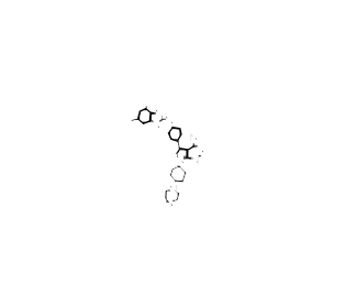 Cc1cc(Cl)c2[nH]c(Nc3ccc(-c4cn([C@H]5CC[C@@H](N6CCN(C)CC6)CC5)c5ncnc(N)c45)cc3)nc2c1